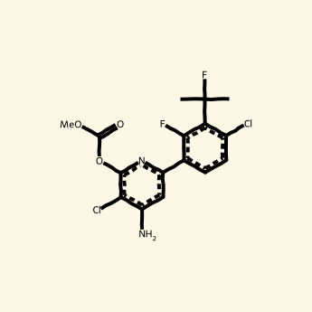 COC(=O)Oc1nc(-c2ccc(Cl)c(C(C)(C)F)c2F)cc(N)c1Cl